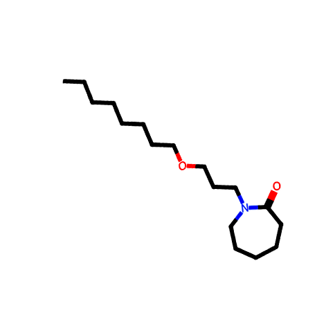 CCCCCCCCOCCCN1CCCCCC1=O